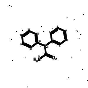 NC(=O)N(c1ccccc1)c1ccccc1